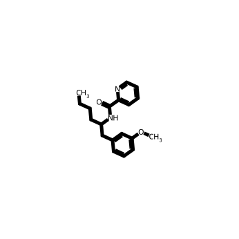 CCCCC(Cc1cccc(OC)c1)NC(=O)c1ccccn1